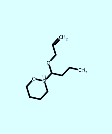 C=CCOC(CCC)[SiH]1CCCCO1